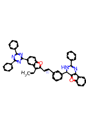 C=Cc1c(/C=C/c2cccc(C3NC(c4ccccc4)=Nc4c3oc3ccccc43)c2)oc2ccc(-c3nc(-c4ccccc4)nc(-c4ccccc4)n3)cc12